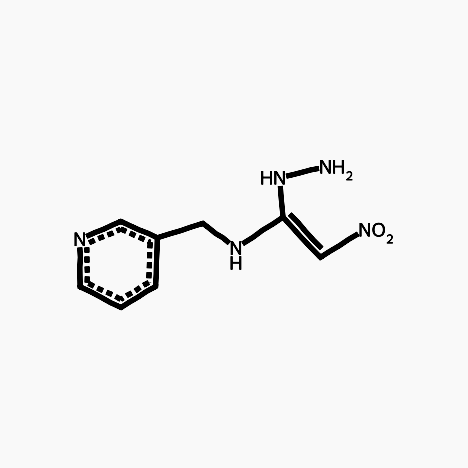 NN/C(=C\[N+](=O)[O-])NCc1cccnc1